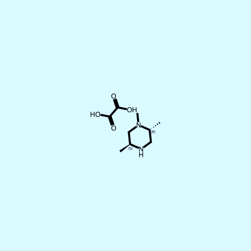 C[C@@H]1CN[C@@H](C)CN1C.O=C(O)C(=O)O